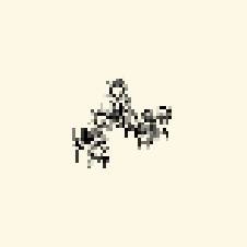 CCNC(=O)[C@@H](NC(=O)[C@H](C)NC[C@H](Cc1ccccc1)NC(=O)c1cccc(C(=O)N[C@H](C)c2ccc(F)cc2)n1)C(C)C